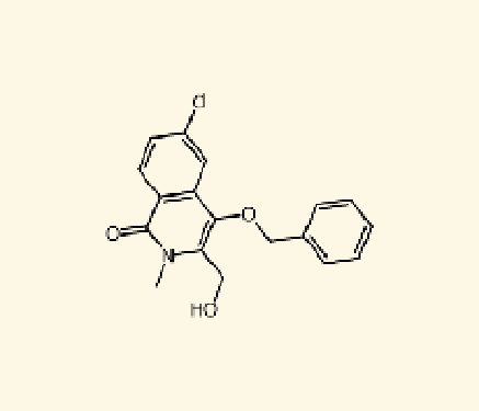 Cn1c(CO)c(OCc2ccccc2)c2cc(Cl)ccc2c1=O